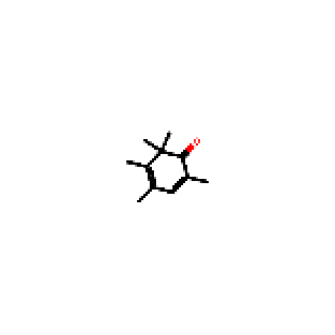 CC1=CC(C)=C(C)C(C)(C)C1=O